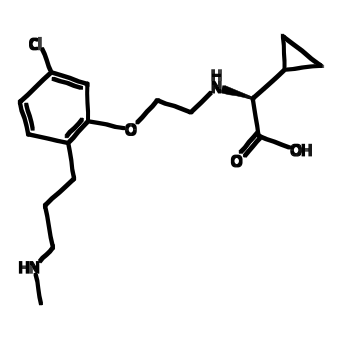 CNCCCc1ccc(Cl)cc1OCCN[C@H](C(=O)O)C1CC1